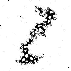 CC[C@@]1(OC(=O)CN(C)C)C(=O)OCc2c1cc1n(c2=O)Cc2cc3c(CN(C)C)c(OC(=O)N4CCN(CCCCCCN(C)c5ccc([C@H]6C[C@@]7(C)[C@@H](CC[C@]7(OC(C)=O)C(C)=O)[C@@H]7CCC8=CC(=O)CCC8=C76)cc5)CC4)ccc3nc2-1